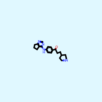 O=C(CCC1CCNCC1)c1ccc(Nc2ncnc3c2CCC3)cc1